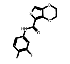 O=C(Nc1ccc(F)c(F)c1)c1scc2c1OCCO2